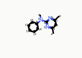 Cc1cc(C)nc(N(C)c2cc[c]cc2)n1